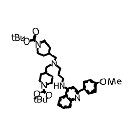 COc1ccc(-c2cc(NCCCN(CC3CCN(C(=O)OC(C)(C)C)CC3)CC3CCN(C(=O)OC(C)(C)C)CC3)c3ccccc3n2)cc1